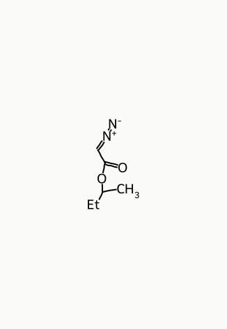 CCC(C)OC(=O)C=[N+]=[N-]